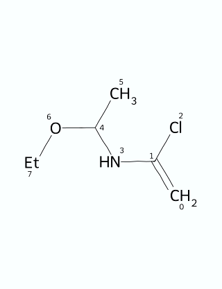 C=C(Cl)NC(C)OCC